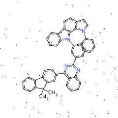 CC1(C)c2ccccc2-c2ccc(-c3nc(-c4cccc(-n5c6ccccc6c6ccc7ccn(-c8ccccc8)c7c65)c4)nc4ccccc34)cc21